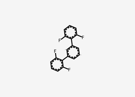 Fc1cccc(F)c1-c1[c]c(-c2c(F)cccc2F)c[c]c1